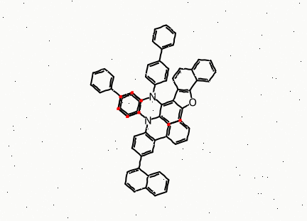 c1ccc(-c2ccc(N(c3ccc(-c4cccc5ccccc45)cc3-c3ccccc3)c3ccc4oc5c6ccccc6ccc5c4c3N(c3ccccc3)c3ccc(-c4ccccc4)cc3)cc2)cc1